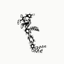 CCC(C(=O)c1ccc(Cl)cc1)n1ncn(-c2ccc(N3CCN(c4ccc(OC)c(OC)c4)CC3)nc2)c1=O.Cl.Cl